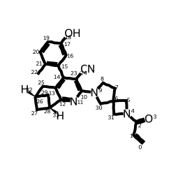 C=CC(=O)N1CC2(CCN(c3nc4c(c(-c5cc(O)ccc5C)c3C#N)C[C@H]3C[C@@H]4C3)C2)C1